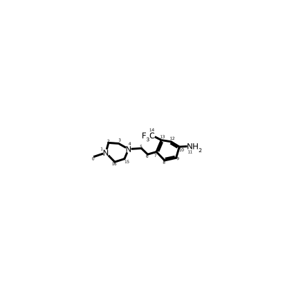 CN1CCN(CCc2ccc(N)cc2C(F)(F)F)CC1